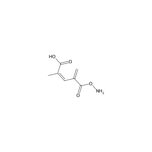 C=C(C=C(C)C(=O)O)C(=O)ON